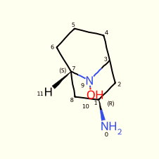 N[C@@H]1CC2CCC[C@@H](C1)N2O